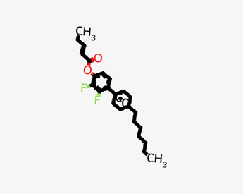 CC/C=C/C(=O)Oc1ccc(C23CCC(CCCCCCC)(CC2)CC3)c(F)c1F